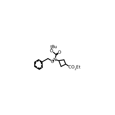 CCOC(=O)C1CC(N(OCc2ccccc2)C(=O)OC(C)(C)C)C1